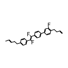 C=CCCc1ccc(-c2ccc(/C(F)=C(\F)c3ccc(CC/C=C/C)cc3)cc2)cc1F